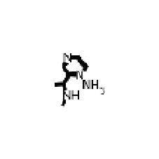 CNC(C)c1cnccn1.N